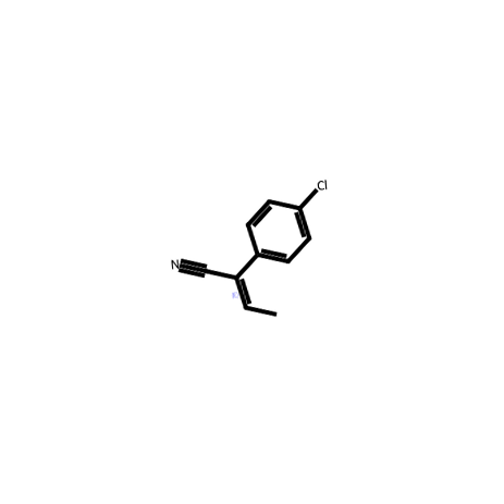 C/C=C(/C#N)c1ccc(Cl)cc1